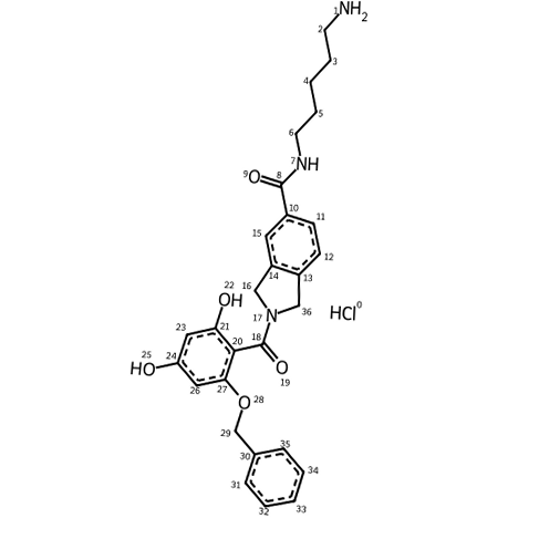 Cl.NCCCCCNC(=O)c1ccc2c(c1)CN(C(=O)c1c(O)cc(O)cc1OCc1ccccc1)C2